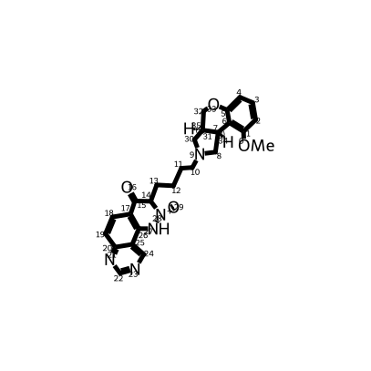 COc1cccc2c1[C@@H]1CN(CCCCC3C(=O)c4ccc5ncncc5c4N[N+]3=O)C[C@H]1CO2